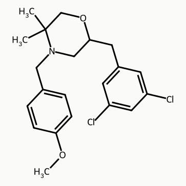 COc1ccc(CN2CC(Cc3cc(Cl)cc(Cl)c3)OCC2(C)C)cc1